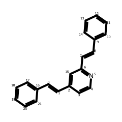 C(=Cc1ccnc(C=Cc2ccccc2)c1)c1ccccc1